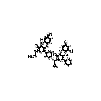 CC(=O)c1c(-c2ccccn2)nn(CC2CC2)c(=O)c1Nc1cc(Cl)cc(Cl)c1.CC(=O)c1c(-c2ccccn2)nn(CCO)c(=O)c1Nc1cccc(C#N)c1